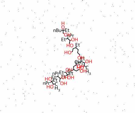 CCC(CC)C(O)C(C)O.CCC(CCO)CC(C)O.CCC(CCO)CCCO.CCC(O)C(O)(CC)CC.CCCC(CC)C(O)CO.CCCC(CC)C(O)CO.CCCC(O)(CC)C(C)O.CCCCC(O)(CC)CO